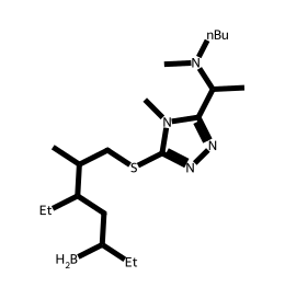 BC(CC)CC(CC)C(C)CSc1nnc(C(C)N(C)CCCC)n1C